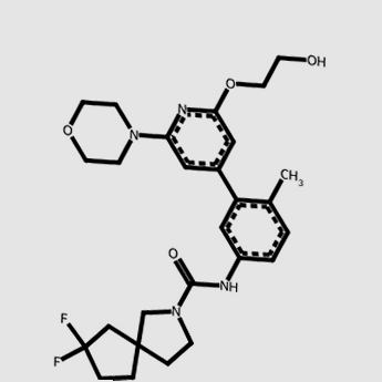 Cc1ccc(NC(=O)N2CCC3(CCC(F)(F)C3)C2)cc1-c1cc(OCCO)nc(N2CCOCC2)c1